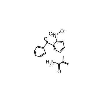 C=C(C)C(N)=O.O=C(c1ccccc1)c1ccccc1[N+](=O)[O-]